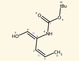 C/C=C\C(=C/O)NC(=O)OC(C)(C)C